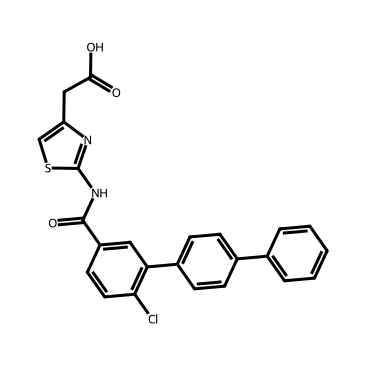 O=C(O)Cc1csc(NC(=O)c2ccc(Cl)c(-c3ccc(-c4ccccc4)cc3)c2)n1